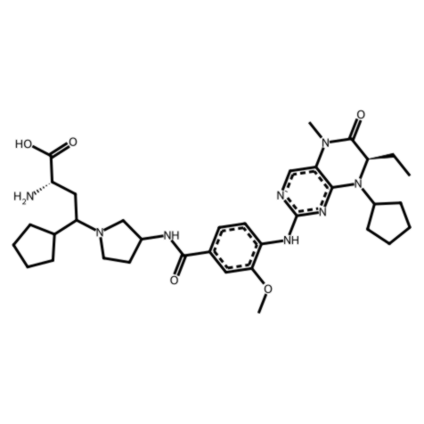 CC[C@@H]1C(=O)N(C)c2cnc(Nc3ccc(C(=O)NC4CCN(C(C[C@H](N)C(=O)O)C5CCCC5)C4)cc3OC)nc2N1C1CCCC1